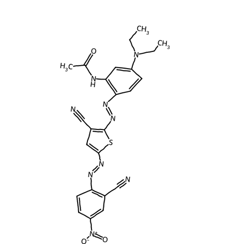 CCN(CC)c1ccc(N=Nc2sc(N=Nc3ccc([N+](=O)[O-])cc3C#N)cc2C#N)c(NC(C)=O)c1